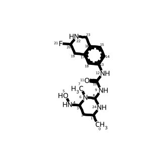 CC1CC(NO)N(C)C(NC(=O)Nc2ccc3c(c2)CC(F)NC3)N1